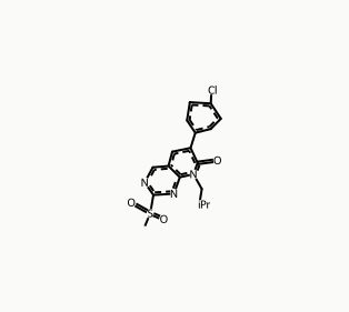 CC(C)Cn1c(=O)c(-c2ccc(Cl)cc2)cc2cnc(S(C)(=O)=O)nc21